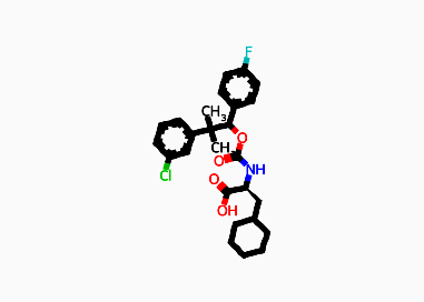 CC(C)(c1cccc(Cl)c1)C(OC(=O)N[C@@H](CC1CCCCC1)C(=O)O)c1ccc(F)cc1